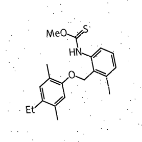 CCc1cc(C)c(OCc2c(I)cccc2NC(=S)OC)cc1C